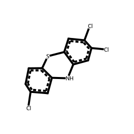 Clc1ccc2c(c1)Nc1cc(Cl)c(Cl)cc1S2